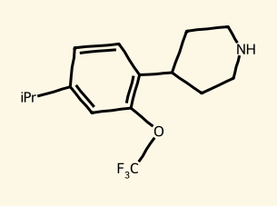 CC(C)c1ccc(C2CCNCC2)c(OC(F)(F)F)c1